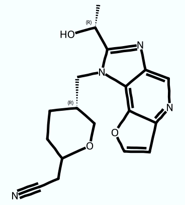 C[C@@H](O)c1nc2cnc3ccoc3c2n1C[C@H]1CCC(CC#N)OC1